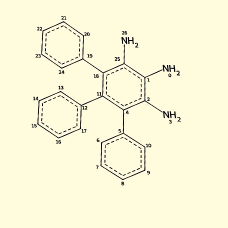 Nc1c(N)c(-c2ccccc2)c(-c2ccccc2)c(-c2ccccc2)c1N